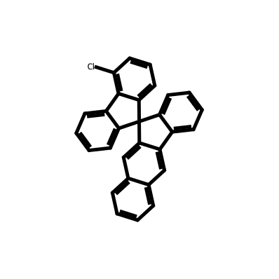 Clc1cccc2c1-c1ccccc1C21c2ccccc2-c2cc3ccccc3cc21